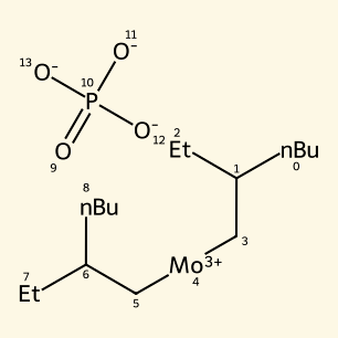 CCCCC(CC)[CH2][Mo+3][CH2]C(CC)CCCC.O=P([O-])([O-])[O-]